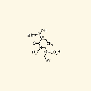 CCCCCC[C@@H](O)[C@@H](CC(F)(F)F)C(=O)N(C)C[C@H](CC(C)C)C(=O)O